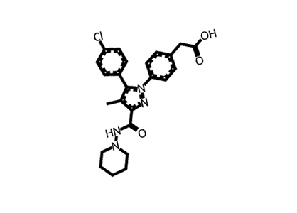 Cc1c(C(=O)NN2CCCCC2)nn(-c2ccc(CC(=O)O)cc2)c1-c1ccc(Cl)cc1